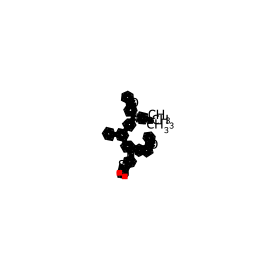 CC(C)(C)c1ccc(N(c2ccc(-c3cc(-c4ccccc4)cc(-c4ccc5c(c4)c4cc6c(ccc7oc8ccccc8c76)cc4n5-c4ccc5c(c4)sc4ccccc45)c3)cc2)c2ccc3c(c2)oc2ccccc23)cc1